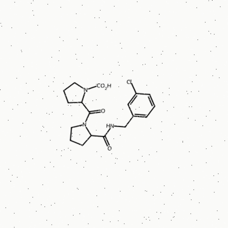 O=C(NCc1cccc(Cl)c1)C1CCCN1C(=O)C1CCCN1C(=O)O